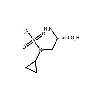 N[C@@H](CN(C1CC1)S(N)(=O)=O)C(=O)O